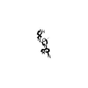 C[C@@H]1CN(c2ccc(C#N)n3nccc23)C[C@H](CN2CC3(CCNC3)C2)O1